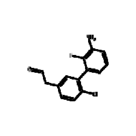 Nc1cccc(-c2cc(CC=O)ccc2Cl)c1F